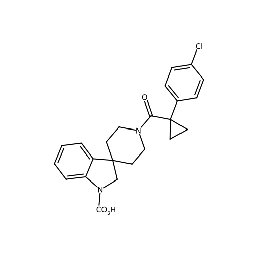 O=C(O)N1CC2(CCN(C(=O)C3(c4ccc(Cl)cc4)CC3)CC2)c2ccccc21